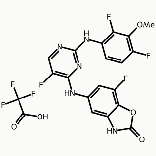 COc1c(F)ccc(Nc2ncc(F)c(Nc3cc(F)c4oc(=O)[nH]c4c3)n2)c1F.O=C(O)C(F)(F)F